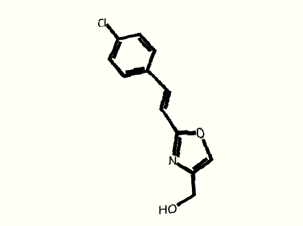 OCc1coc(C=Cc2ccc(Cl)cc2)n1